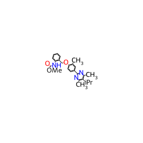 COC(=O)Nc1ccccc1COc1ccc(-c2nc(C)c(C(C)C)c(C)n2)cc1C